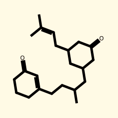 CC(C)=CCC1CC(=O)CC(CC(C)CCC2=CC(=O)CCC2)C1